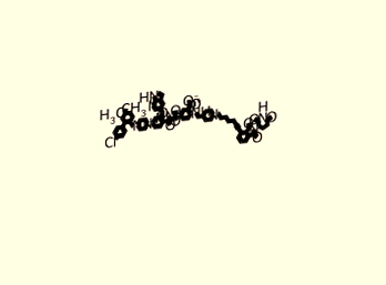 CC1(C)CCC(CN2CCN(c3ccc(C(=O)NS(=O)(=O)c4ccc(NCC5CCN(CCCCCC#Cc6cccc7c6C(=O)N(C6CCC(=O)NC6=O)C7=O)CC5)c([N+](=O)[O-])c4)c(Oc4cnc5[nH]ccc5c4)c3)CC2)=C(c2ccc(Cl)cc2)C1